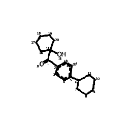 O=C(c1ccc(C2CCCCC2)cc1)C1(O)CCCCC1